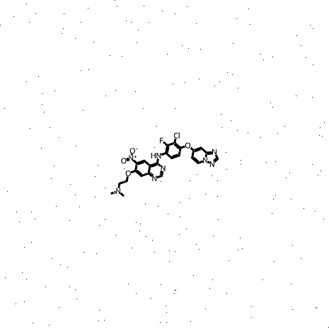 CN(C)CCOc1cc2ncnc(Nc3ccc(Oc4ccn5ncnc5c4)c(Cl)c3F)c2cc1[N+](=O)[O-]